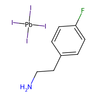 NCCc1ccc(F)cc1.[I][Pb]([I])([I])[I]